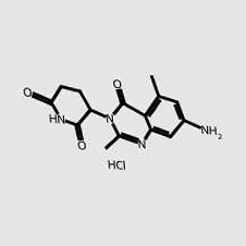 Cc1cc(N)cc2nc(C)n(C3CCC(=O)NC3=O)c(=O)c12.Cl